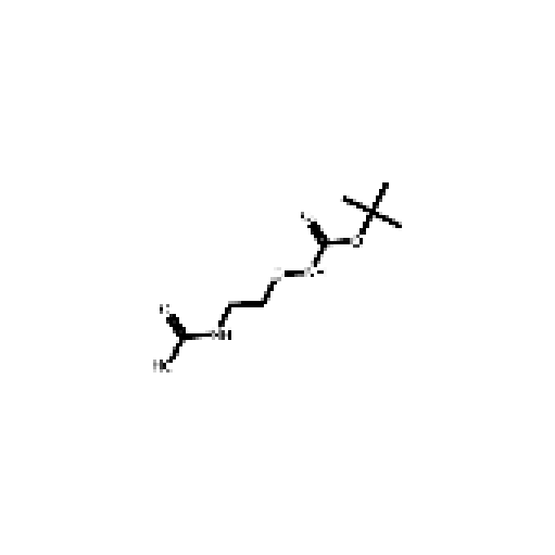 CC(C)(C)OC(=O)NOCCNC(=O)O